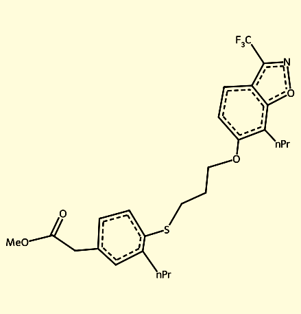 CCCc1cc(CC(=O)OC)ccc1SCCCOc1ccc2c(C(F)(F)F)noc2c1CCC